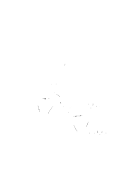 COc1ccc(S(=O)(=O)n2cc(OCCN(C)C)c3cc(Cl)cc(Cl)c32)c(OC)c1